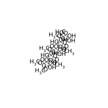 COC(=O)C1OC(OC2C(C(=O)OC)OC(OC3C(C(=O)OC)OC(OC4C(C(=O)OC)OC(OC5C(C(=O)OC)OC(OC)C(O)C5O)C(O)C4O)C(O)C3O)C(O)C2O)C(O)C(O)C1OC